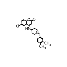 Cc1ccc(CN2CCC(Nc3cc(=O)oc4ccc(Cl)cc34)CC2)cc1C